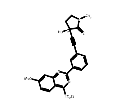 CCOC(=O)c1nc(-c2cccc(C#C[C@]3(O)CCN(C)C3=O)c2)nc2cc(OC)ccc12